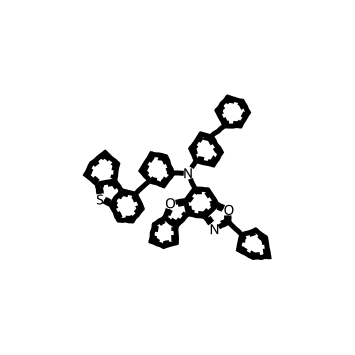 c1ccc(-c2ccc(N(c3cccc(-c4cccc5sc6ccccc6c45)c3)c3cc4oc(-c5ccccc5)nc4c4c3oc3ccccc34)cc2)cc1